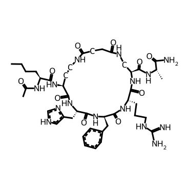 CCCC[C@H](NC(C)=O)C(=O)N[C@H]1CCNC(=O)CCC(=O)NC[C@@H](C(=O)N[C@@H](C)C(N)=O)NC(=O)[C@H](CCCNC(=N)N)NC(=O)[C@@H](Cc2ccccc2)NC(=O)[C@H](Cc2c[nH]cn2)NC1=O